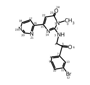 Cn1c(NCC(=O)c2cccc(Br)c2)nc(-c2ccncn2)cc1=O